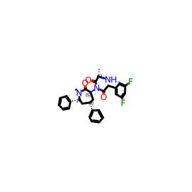 C[C@H](N)C(=O)N(C(=O)Cc1cc(F)cc(F)c1)[C@H]1C[C@H](c2ccccc2)C[C@H](c2ccccc2)N(C)C1=O